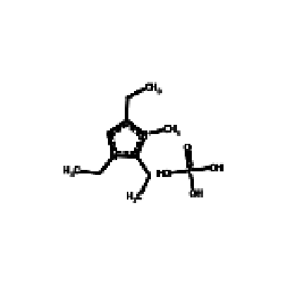 CCc1cn(CC)c(CC)[n+]1C.O=P(O)(O)O